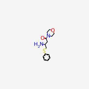 NC(CSc1ccccc1)CC(=O)N1CCOCC1